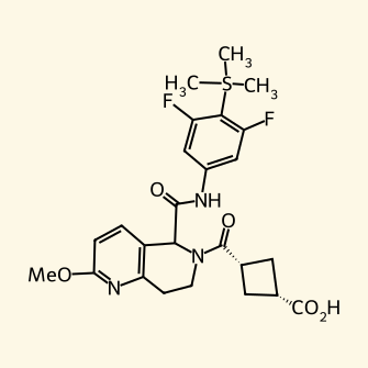 COc1ccc2c(n1)CCN(C(=O)[C@H]1C[C@@H](C(=O)O)C1)C2C(=O)Nc1cc(F)c(S(C)(C)C)c(F)c1